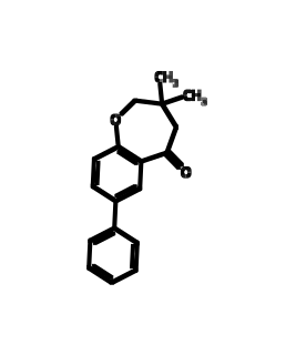 CC1(C)COc2ccc(-c3ccccc3)cc2C(=O)C1